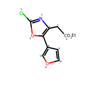 CCOC(=O)Cc1nc(Cl)oc1-c1ccoc1